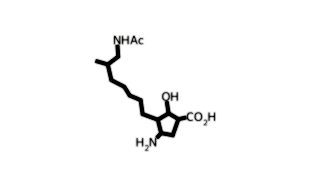 CC(=O)NCC(C)CCCCCC1C(N)CC(C(=O)O)C1O